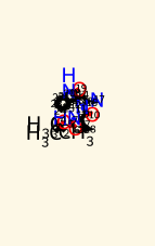 CC(C)(C)OC(=O)N[C@H](C(=O)N1C[C@]2(C[C@H]1C#N)C(=O)Nc1ccccc12)C1CC1